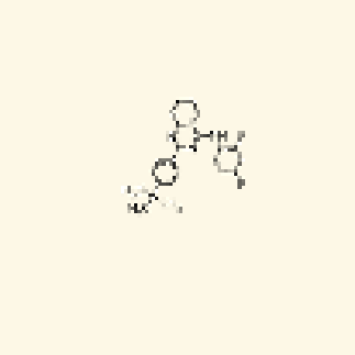 CC(C)(C)c1ccc(-c2nc(Nc3ccc(F)cc3F)c3ccccc3n2)cc1